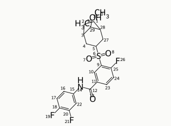 C[C@H]1CC2CC(S(=O)(=O)c3cc(C(=O)Nc4ccc(F)c(F)c4)ccc3F)CC1[C@]2(C)O